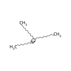 CCCCCCCCCCCc1cc[n+](CCCCCCCCC)cc1CCCCCCCCCCC